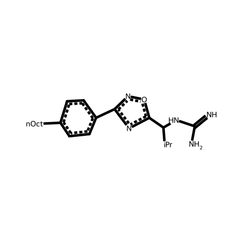 CCCCCCCCc1ccc(-c2noc(C(NC(=N)N)C(C)C)n2)cc1